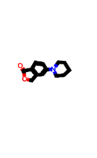 O=C1OCc2cc(N3CCCCC3)ccc21